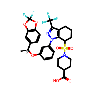 C[C@H](Oc1cccc(-n2nc(C(F)(F)F)c3c2C(S(=O)(=O)N2CCC(C(=O)O)CC2)CCC3)c1)c1ccc2c(c1)OC(F)(F)O2